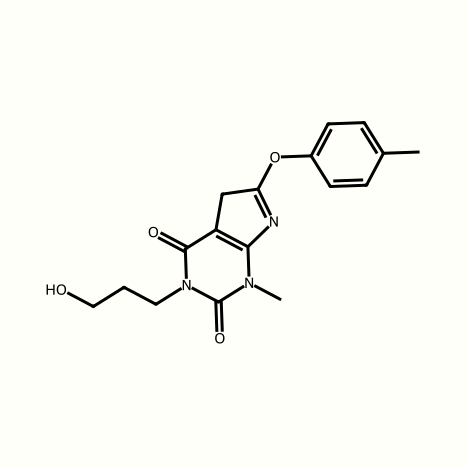 Cc1ccc(OC2=Nc3c(c(=O)n(CCCO)c(=O)n3C)C2)cc1